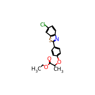 CCOC(=O)C(C)Oc1ccc(-c2nc3ccc(Cl)cc3s2)cc1